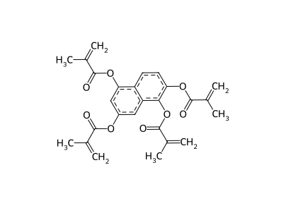 C=C(C)C(=O)Oc1cc(OC(=O)C(=C)C)c2ccc(OC(=O)C(=C)C)c(OC(=O)C(=C)C)c2c1